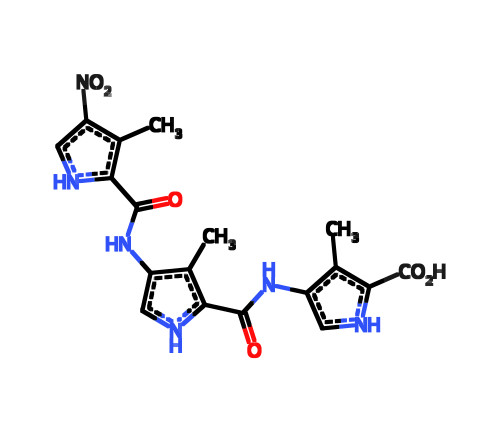 Cc1c(NC(=O)c2[nH]cc(NC(=O)c3[nH]cc([N+](=O)[O-])c3C)c2C)c[nH]c1C(=O)O